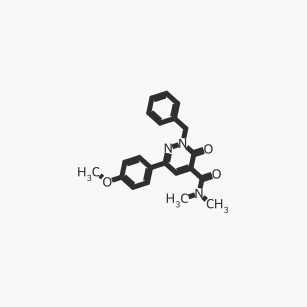 COc1ccc(-c2cc(C(=O)N(C)C)c(=O)n(Cc3ccccc3)n2)cc1